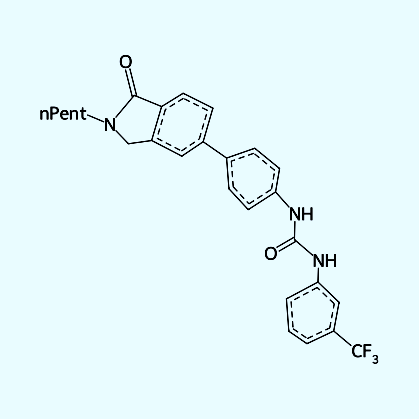 CCCCCN1Cc2cc(-c3ccc(NC(=O)Nc4cccc(C(F)(F)F)c4)cc3)ccc2C1=O